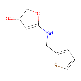 O=C1C=C(NCc2cccs2)OC1